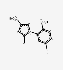 CCOC(=O)c1cc(C)n(-c2cc(F)ccc2C(=O)O)c1